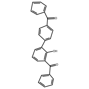 O=C(c1ccccc1)c1ccc(-c2cccc(C(=O)c3ccccc3)c2O)cc1